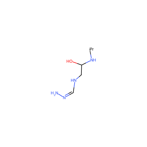 CC(C)NC(O)CN/C=N\N